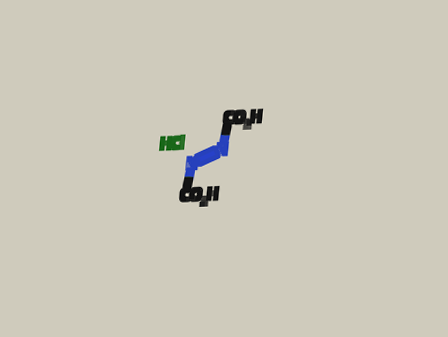 Cl.O=C(O)N=NC(=O)O